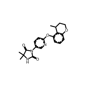 CC1CCOc2cccc(Oc3ccc(N4C(=O)NC(C)(C)C4=O)cn3)c21